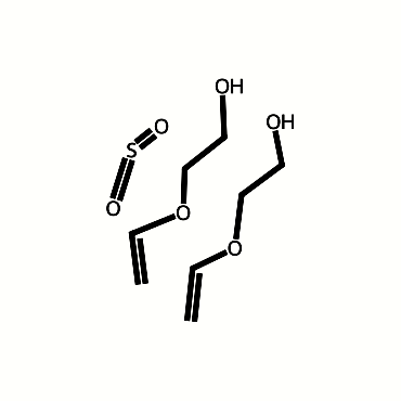 C=COCCO.C=COCCO.O=S=O